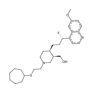 COc1ccc2nccc([C@@H](F)CC[C@@H]3CCN(CCSC4CCCCCC4)C[C@@H]3CO)c2c1